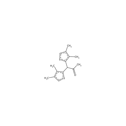 CC(=O)C(c1scc(C)c1C)c1scc(C)c1C